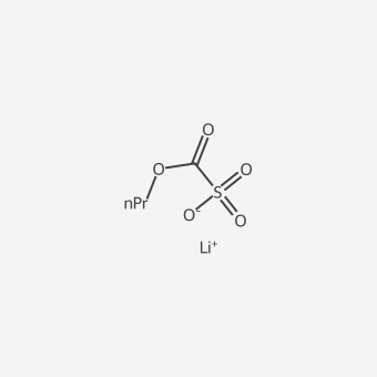 CCCOC(=O)S(=O)(=O)[O-].[Li+]